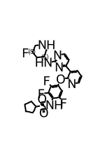 O=S(=O)(Nc1c(F)cc(Oc2ncccc2-c2ccnc(N[C@@H]3CNC[C@@H](F)C3)n2)c(F)c1F)C1CCCC1